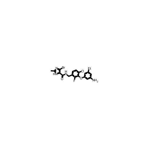 CCc1cc(N)cc(Oc2c(Cl)ccc(CNC(=O)c3[nH]c(C)nc3Br)c2F)c1